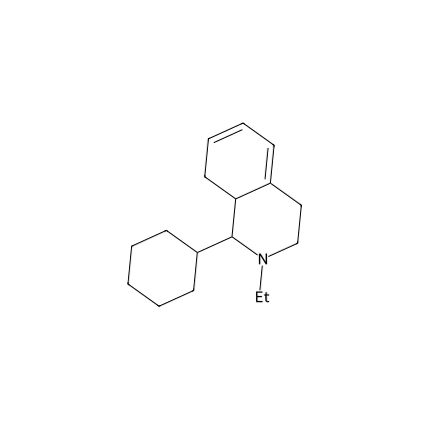 CCN1CCC2=CC=CCC2C1C1CCCCC1